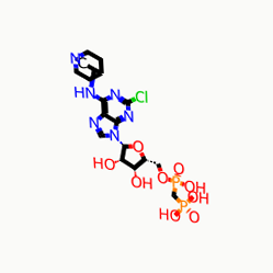 O=P(O)(O)CP(=O)(O)OC[C@H]1O[C@@H](n2cnc3c(NC4CN5CCC4CC5)nc(Cl)nc32)[C@@H](O)[C@H]1O